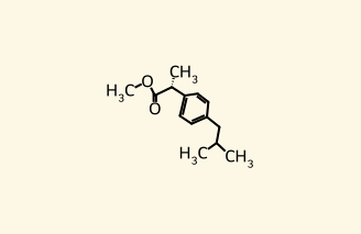 COC(=O)[C@H](C)c1ccc(CC(C)C)cc1